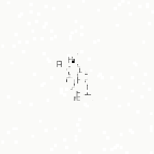 [Br][Co][Br].[Br][Cu][Br]